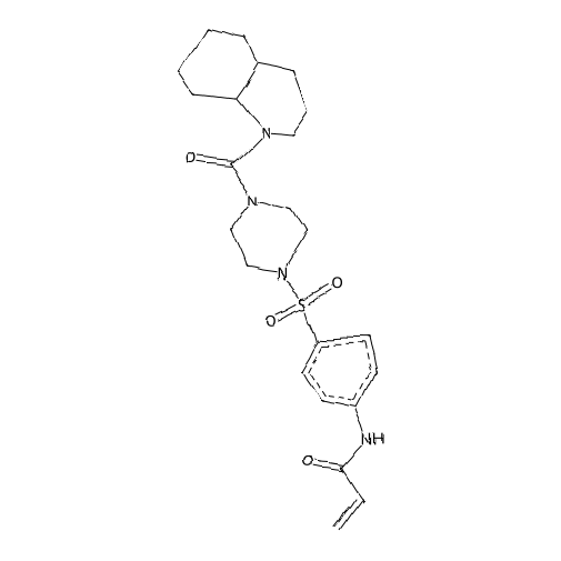 C=CC(=O)Nc1ccc(S(=O)(=O)N2CCN(C(=O)N3CCCC4CCCCC43)CC2)cc1